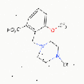 CCN1CCN(Cc2c(OC(F)(F)F)cccc2C(=O)O)CC1